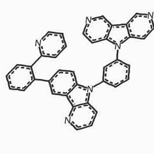 c1ccc(-c2ccccc2-c2ccc3c(c2)c2ncccc2n3-c2cccc(-n3c4ccncc4c4cnccc43)c2)nc1